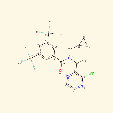 CC(c1nccnc1Cl)N(CC1CC1)C(=O)c1cc(C(F)(F)F)cc(C(F)(F)F)c1